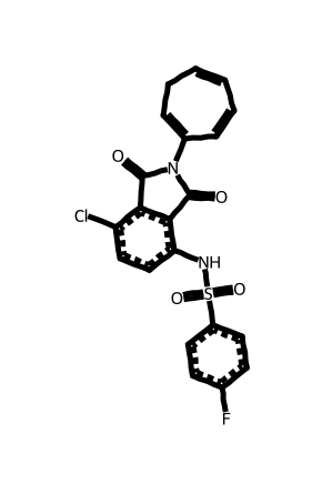 O=C1c2c(Cl)ccc(NS(=O)(=O)c3ccc(F)cc3)c2C(=O)N1C1=CCC=CC=C1